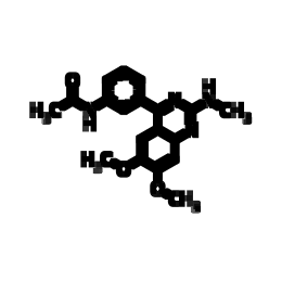 CNC1=NC2C=C(OC)C(OC)=CC2C(c2cccc(NC(C)=O)c2)=N1